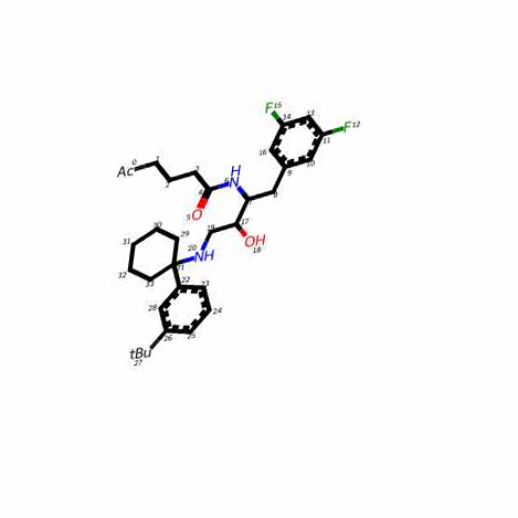 CC(=O)CCCC(=O)NC(Cc1cc(F)cc(F)c1)C(O)CNC1(c2cccc(C(C)(C)C)c2)CCCCC1